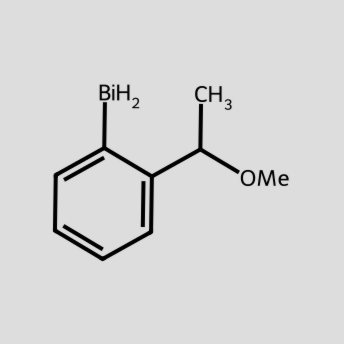 COC(C)c1cccc[c]1[BiH2]